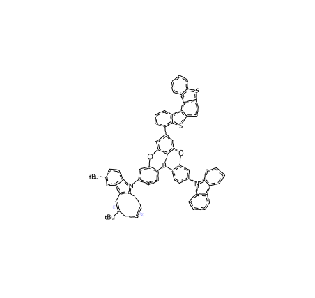 CC(C)(C)/C1=C/c2c(n(-c3ccc4c(c3)Oc3cc(-c5cccc6c5sc5ccc7sc8ccccc8c7c56)cc5c3B4c3ccc(-n4c6ccccc6c6ccccc64)cc3O5)c3ccc(C(C)(C)C)cc23)C/C=C\C1